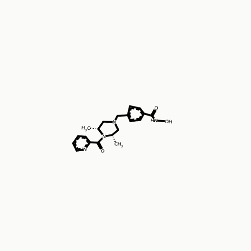 C[C@@H]1CN(Cc2ccc(C(=O)NO)cc2)C[C@H](C)N1C(=O)c1ccccn1